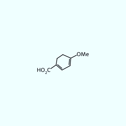 COC1=CC=C(C(=O)O)CC1